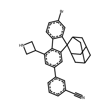 N#Cc1cccc(-c2cc(C3CNC3)c3c(c2)C2(c4cc(Br)ccc4-3)C3CC4CC(C3)CC2C4)c1